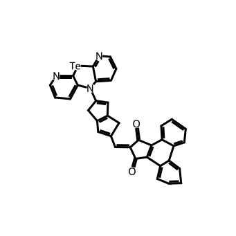 O=C1C(=CC2=CC3=C(C=C(N4c5cccnc5[Te]c5ncccc54)C3)C2)C(=O)c2c1c1ccccc1c1ccccc21